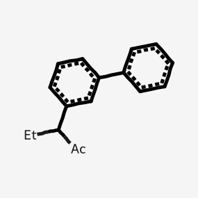 CCC(C(C)=O)c1cccc(-c2ccccc2)c1